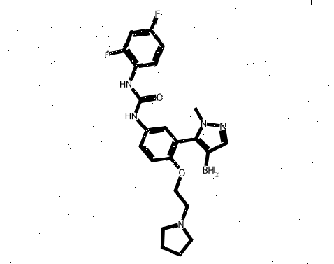 Bc1cnn(C)c1-c1cc(NC(=O)Nc2ccc(F)cc2F)ccc1OCCN1CCCC1